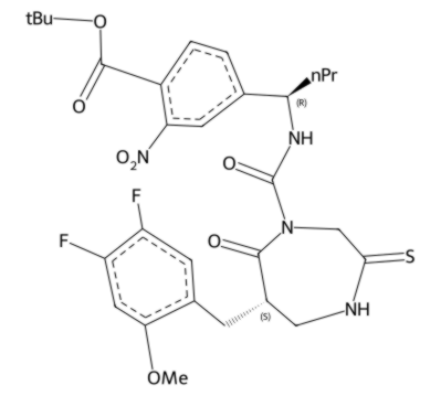 CCC[C@@H](NC(=O)N1CC(=S)NC[C@H](Cc2cc(F)c(F)cc2OC)C1=O)c1ccc(C(=O)OC(C)(C)C)c([N+](=O)[O-])c1